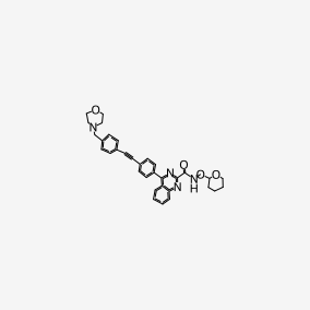 O=C(NOC1CCCCO1)c1nc(-c2ccc(C#Cc3ccc(CN4CCOCC4)cc3)cc2)c2ccccc2n1